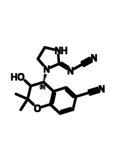 CC1(C)Oc2ccc(C#N)cc2[C@@H](N2CCNC2=NC#N)C1O